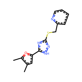 Cc1cc(-c2nc(SCc3ccccn3)n[nH]2)oc1C